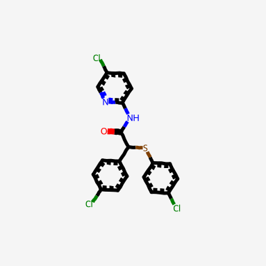 O=C(Nc1ccc(Cl)cn1)C(Sc1ccc(Cl)cc1)c1ccc(Cl)cc1